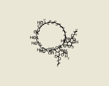 C=CCOC(=O)C[C@H]1C[C@@]2(O)C[C@@H](O)C[C@@H](O)[C@H](O)CC[C@@H](O)C[C@@H](O)CC(=O)O[C@@H](C)[C@H](C)[C@H](O)[C@@H](C)/C=C/C=C/C=C/C=C/C=C/C=C/C=C/[C@H](O[C@@H]3O[C@H](C)[C@@H](O)[C@H](NC(=O)OCC=C)[C@@H]3O)C[C@H](O2)[C@@H]1NC(N)=O